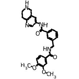 COc1ccc(C(=O)NCc2cccc(C(=O)Nc3cnc4c(c3)CNCC4)c2)cc1OC